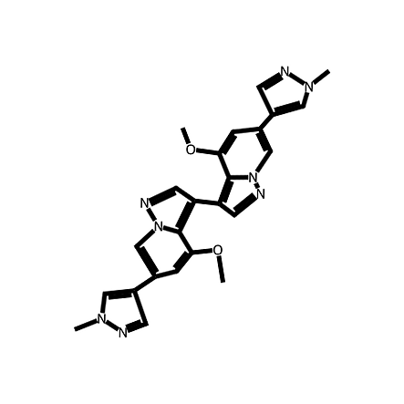 COc1cc(-c2cnn(C)c2)cn2ncc(-c3cnn4cc(-c5cnn(C)c5)cc(OC)c34)c12